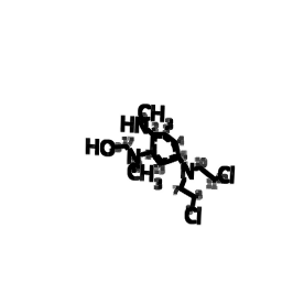 CNc1ccc(N(CCCl)CCCl)cc1N(C)CO